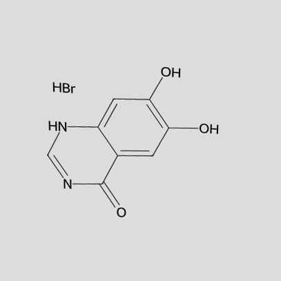 Br.O=c1nc[nH]c2cc(O)c(O)cc12